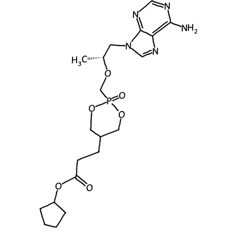 C[C@H](Cn1cnc2c(N)ncnc21)OCP1(=O)OCC(CCC(=O)OC2CCCC2)CO1